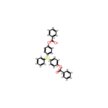 O=C(Oc1ccc([S+](c2ccccc2)c2ccc(OC(=O)c3ccccc3)cc2)cc1)c1ccccc1